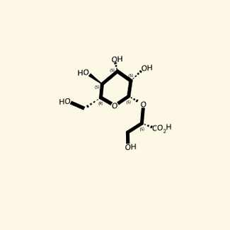 O=C(O)[C@H](CO)O[C@@H]1O[C@H](CO)[C@@H](O)[C@H](O)[C@@H]1O